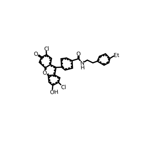 CCc1ccc(CCNC(=O)c2ccc(-c3c4cc(Cl)c(=O)cc-4oc4cc(O)c(Cl)cc34)cc2)cc1